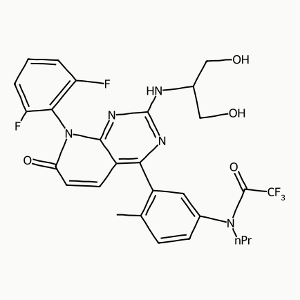 CCCN(C(=O)C(F)(F)F)c1ccc(C)c(-c2nc(NC(CO)CO)nc3c2ccc(=O)n3-c2c(F)cccc2F)c1